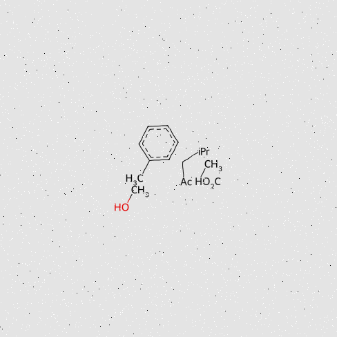 CC(=O)CC(C)C.CC(=O)O.CO.Cc1ccccc1